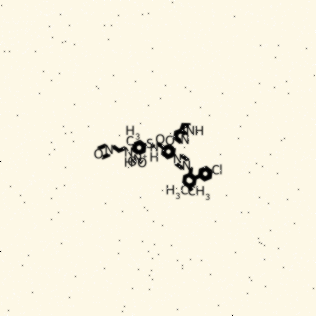 Cc1cc(SNC(=O)c2ccc(N3CCN(CC4=C(c5ccc(Cl)cc5)CC(C)(C)CC4)CC3)cc2Oc2cnc3[nH]ccc3c2)cc([N+](=O)[O-])c1NCCCN1CCOCC1